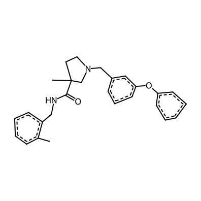 Cc1ccccc1CNC(=O)C1(C)CCN(Cc2cccc(Oc3ccccc3)c2)C1